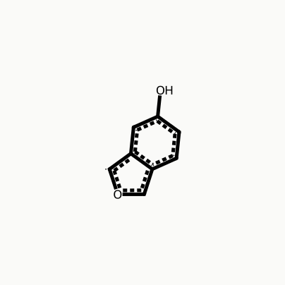 Oc1ccc2co[c]c2c1